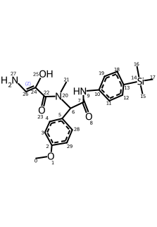 COc1ccc(C(C(=O)Nc2ccc([Si](C)(C)C)cc2)N(C)C(=O)/C(O)=C/N)cc1